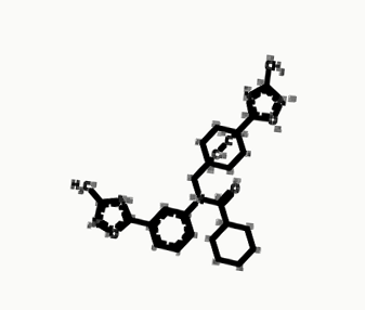 Cc1noc(-c2cccc(N(CC34CCC(c5nc(C)no5)(CC3)CC4)C(=O)C3CCCCC3)c2)n1